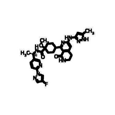 COC1(C(=O)N[C@@H](C)c2ccc(-n3cc(F)cn3)nc2)CCC(c2nc(Nc3cc(C)[nH]n3)cc3c2C(=O)NCC3)CC1